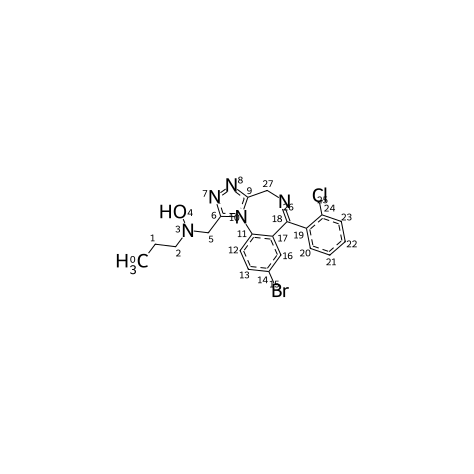 CCCN(O)Cc1nnc2n1-c1ccc(Br)cc1C(c1ccccc1Cl)=NC2